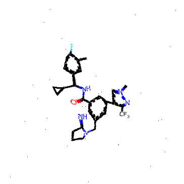 Cc1cc(C(NC(=O)c2cc(CN3CCCC3=N)cc(-c3cn(C)nc3C(F)(F)F)c2)C2CC2)ccc1F